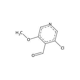 COc1cncc(Cl)c1C=O